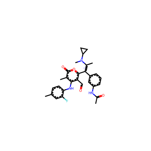 CC(=O)Nc1cccc(/C(=C(\C)N(C)C2CC2)c2oc(=O)c(C)c(Nc3ccc(C)cc3F)c2C=O)c1